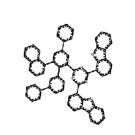 c1ccc(-c2cccc(-c3c(-c4nc(-c5cccc6c5oc5ccccc56)nc(-c5cccc6c5oc5ccccc56)n4)cc(-c4ccccc4)cc3-c3cccc4ccccc34)c2)cc1